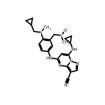 CN(CC1CC1)c1ccc(Nc2cc(NC3CC3)n3ncc(C#N)c3n2)cc1C[S+](C)[O-]